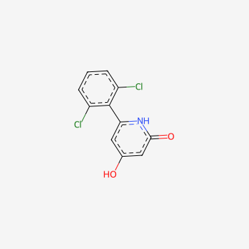 O=c1cc(O)cc(-c2c(Cl)cccc2Cl)[nH]1